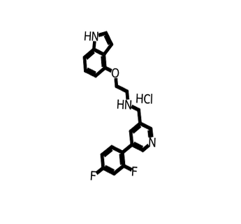 Cl.Fc1ccc(-c2cncc(CNCCOc3cccc4[nH]ccc34)c2)c(F)c1